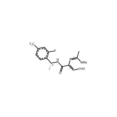 CN/C(C)=N\C(=C/C=O)C(=O)N[C@H](C)c1ccc(C(F)(F)F)cc1F